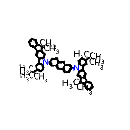 CC(C)(C)c1ccc2c(c1)c1cc3c(cc1n2-c1ccc2cc4cc(-n5c6ccc(C(C)(C)C)cc6c6cc7c(cc65)C(C)(C)c5ccccc5-7)ccc4cc2c1)C(C)(C)c1ccccc1-3